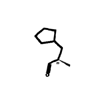 C[C@H](C=O)CC1CCCC1